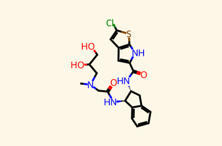 CN(CC(=O)N[C@@H]1c2ccccc2C[C@H]1NC(=O)c1cc2cc(Cl)sc2[nH]1)CC(O)CO